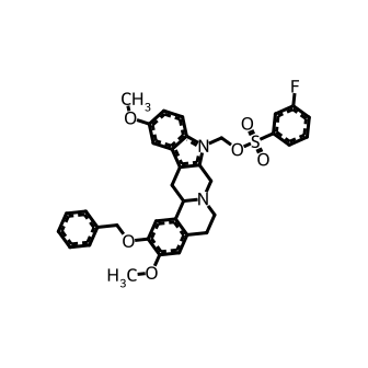 COc1ccc2c(c1)c1c(n2COS(=O)(=O)c2cccc(F)c2)CN2CCc3cc(OC)c(OCc4ccccc4)cc3C2C1